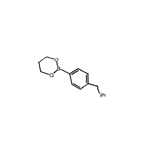 CC(C)Cc1ccc(B2OCCCO2)cc1